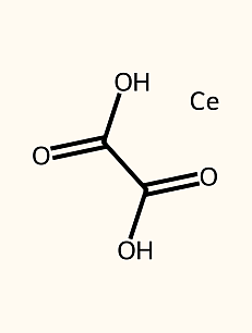 O=C(O)C(=O)O.[Ce]